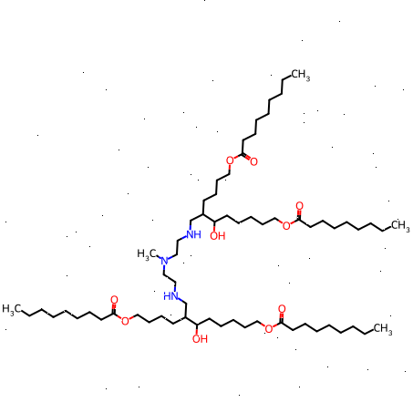 CCCCCCCCC(=O)OCCCCCC(O)C(CCCCOC(=O)CCCCCCCC)CNCCN(C)CCNCC(CCCCOC(=O)CCCCCCCC)C(O)CCCCCOC(=O)CCCCCCCC